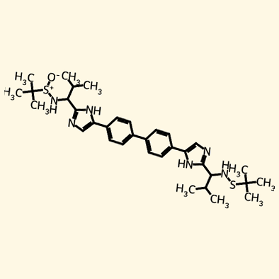 CC(C)C(NSC(C)(C)C)c1ncc(-c2ccc(-c3ccc(-c4cnc(C(N[S+]([O-])C(C)(C)C)C(C)C)[nH]4)cc3)cc2)[nH]1